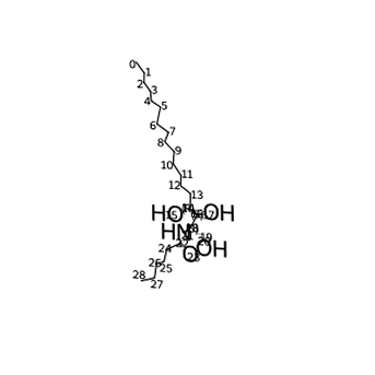 CCCCCCCCCCCCCC[C@@H](O)[C@@H](O)[C@H](CO)NC(=O)CCCCC